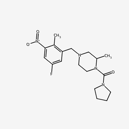 Cc1c(CN2CCN(C(=O)N3CCCC3)C(C)C2)cc(F)cc1[N+](=O)[O-]